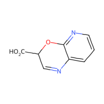 O=C(O)C1C=Nc2cccnc2O1